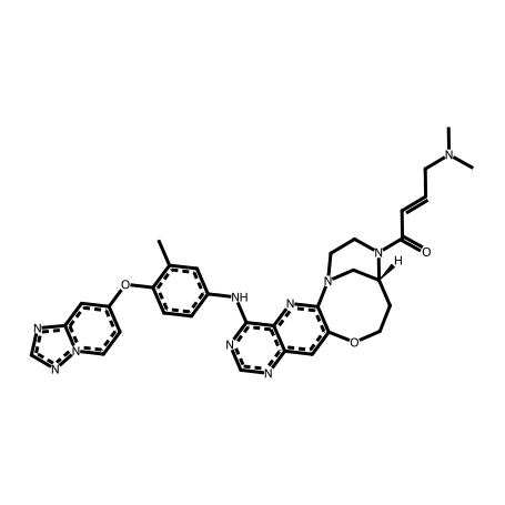 Cc1cc(Nc2ncnc3cc4c(nc23)N2CCN(C(=O)/C=C/CN(C)C)[C@H](CCO4)C2)ccc1Oc1ccn2ncnc2c1